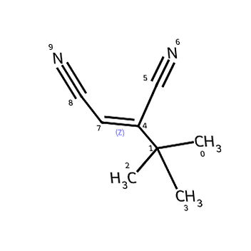 CC(C)(C)/C(C#N)=C/C#N